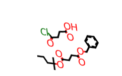 CCCC(C)(C)OC(=O)CCC(=O)OCc1ccccc1.O=C(O)CCC(=O)Cl